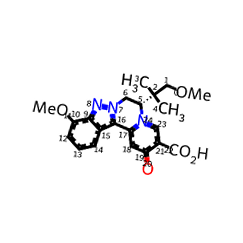 COCC(C)(C)[C@H]1Cn2nc3c(OC)cccc3c2-c2cc(=O)c(C(=O)O)cn21